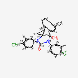 N#Cc1cccc(C2(O)N(c3ccc(Cl)cc3)C(=O)N(c3ccc(Cl)cc3)C23CC3)c1